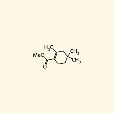 COC(=O)C1=C(C)CC(C)(C)CC1